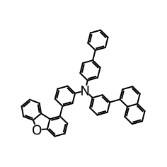 c1ccc(-c2ccc(N(c3cccc(-c4cccc5ccccc45)c3)c3cccc(-c4cccc5oc6ccccc6c45)c3)cc2)cc1